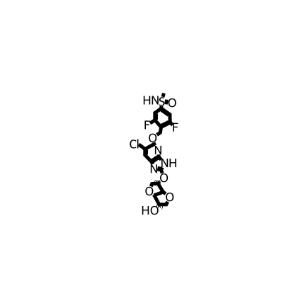 CS(=N)(=O)c1cc(F)c(COc2nc3[nH]c(O[C@@H]4COC5C4OC[C@H]5O)nc3cc2Cl)c(F)c1